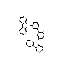 Bc1ccc(-n2c3c(c4ccccc42)CCC=C3)cc1-c1cccc(-n2c3ccccc3c3ccccc32)c1